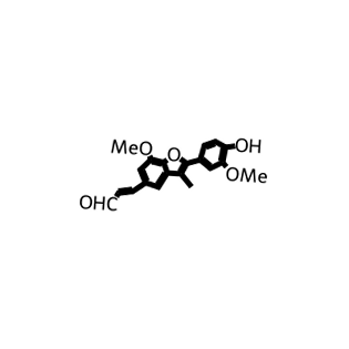 COc1cc(-c2oc3c(OC)cc(C=CC=O)cc3c2C)ccc1O